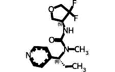 CC[C@H](c1ccncc1)N(C)C(=O)N[C@H]1COCC1(F)F